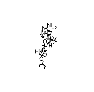 CCC(CC)COC(=O)[C@H](C)N[PH](=O)OC[C@H]1O[C@@](C#N)(c2cc(F)c3c(N)ncnn23)[C@@H]2OC(C)(C)O[C@@H]21